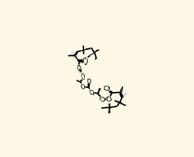 C/C(=C/C(C)(C)CC(C)(C)C)C(=O)OOC(C)OC(=O)OC(C)OOC(=O)/C(C)=C\C(C)(C)CC(C)(C)C